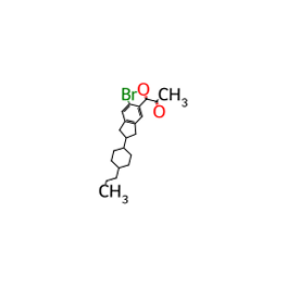 CCCC1CCC(C2Cc3cc(Br)c(C(=O)C(C)=O)cc3C2)CC1